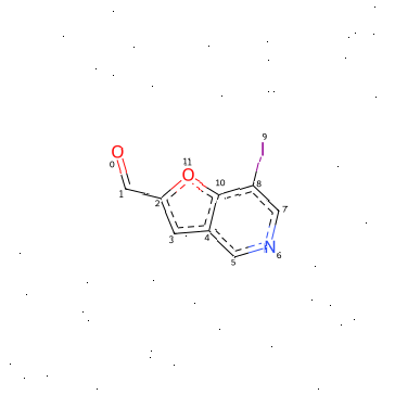 O=Cc1cc2cncc(I)c2o1